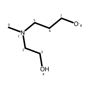 CN(CCO)CCC[O]